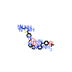 CC(C)Oc1ccc(C(=N)c2nc(N3CC[C@]4(CCN(CC(=O)N5CC=C(C(=N)SC(=N)c6ncn(C)n6)CC5)C4)C3=O)ccc2N)cc1